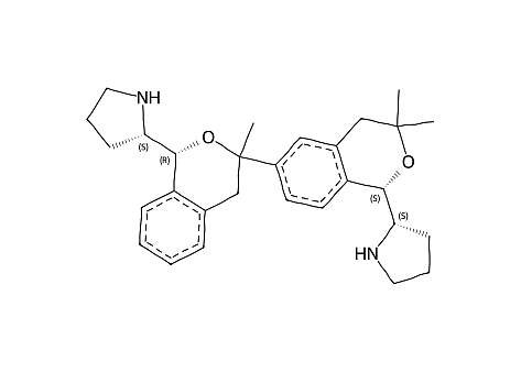 CC1(C)Cc2cc(C3(C)Cc4ccccc4[C@H]([C@@H]4CCCN4)O3)ccc2[C@@H]([C@@H]2CCCN2)O1